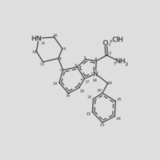 Cl.NC(=O)c1cc2c(C3CCNCC3)cccc2n1Cc1ccccc1